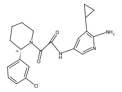 Nc1ncc(NC(=O)C(=O)N2CCCC[C@H]2c2cccc(Cl)c2)cc1C1CC1